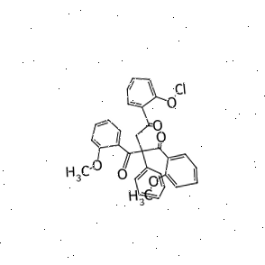 COc1ccccc1C(=O)C(CC(=O)c1ccccc1OCl)(C(=O)c1ccccc1OC)c1ccccc1